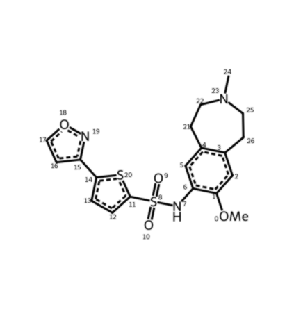 COc1cc2c(cc1NS(=O)(=O)c1ccc(-c3ccon3)s1)CCN(C)CC2